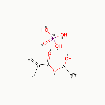 C=C(C)C(=O)OC(O)CCC.O=P(O)(O)O